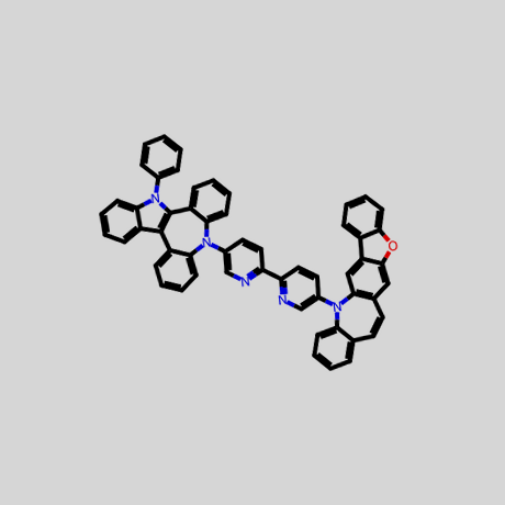 C1=Cc2cc3oc4ccccc4c3cc2N(c2ccc(-c3ccc(N4c5ccccc5-c5c(n(-c6ccccc6)c6ccccc56)-c5ccccc54)cn3)nc2)c2ccccc21